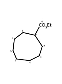 CCOC(=O)C1CCCCCCC1